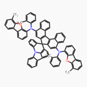 Cc1ccccc1N(c1cc2c(c3ccccc13)-c1c(cc(N(c3ccccc3C)c3cccc4c3oc3c(C(F)(F)F)cccc34)c3ccccc13)C21c2ccccc2-n2c3ccccc3c3cccc1c32)c1cccc2c1oc1c(C(F)(F)F)cccc12